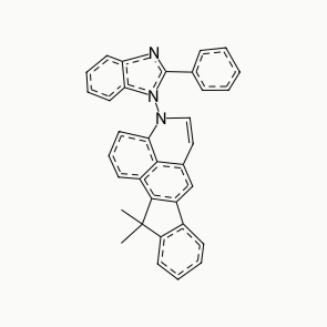 CC1(C)c2ccccc2-c2cc3c4c(cccc4c21)N(n1c(-c2ccccc2)nc2ccccc21)C=C3